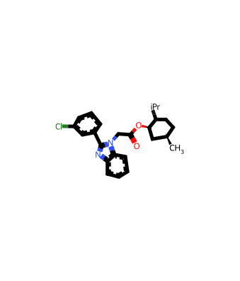 CC(C)C1CC[C@@H](C)C[C@H]1OC(=O)Cn1c(-c2cccc(Cl)c2)nc2ccccc21